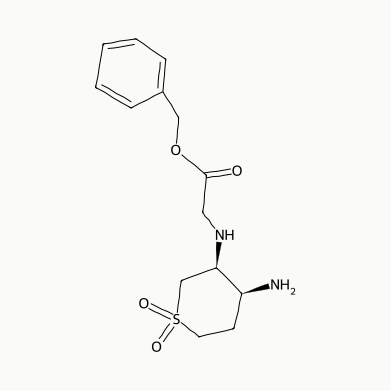 N[C@H]1CCS(=O)(=O)C[C@H]1NCC(=O)OCc1ccccc1